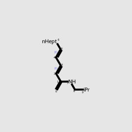 C=C(/C=C/C=C/CCCCCCC)NCC(C)C